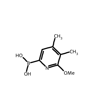 COc1nc(B(O)O)cc(C)c1C